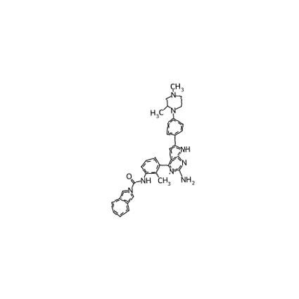 Cc1c(NC(=O)n2cc3ccccc3c2)cccc1-c1nc(N)nc2[nH]c(-c3ccc(N4CCN(C)CC4C)cc3)cc12